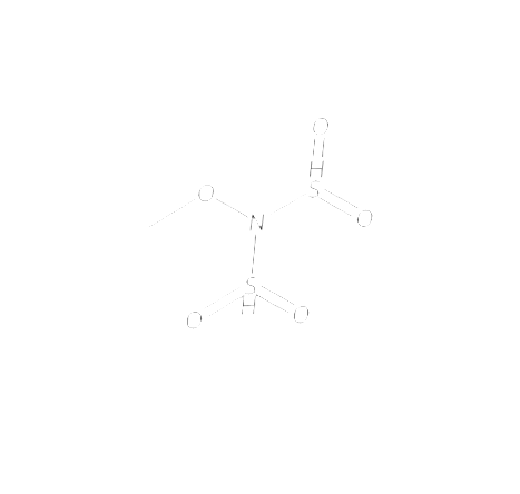 CON([SH](=O)=O)[SH](=O)=O